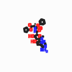 C=N[C@@]1(c2ccc3c(N)ncnn23)O[C@H](COP(=O)(N[C@@H](C)C(=O)OC2CCCC2)Oc2ccccc2)[C@@H](O)[C@H]1O